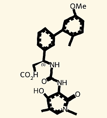 COc1ccc(C)c(-c2cccc([C@H](CC(=O)O)NC(=O)Nc3c(O)c(C)cn(C)c3=O)c2)c1